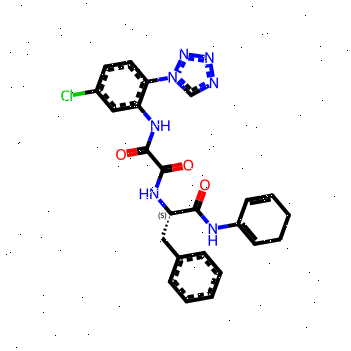 O=C(Nc1cc(Cl)ccc1-n1cnnn1)C(=O)N[C@@H](Cc1ccccc1)C(=O)NC1=CCCC=C1